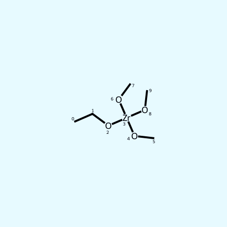 CC[O][Zr]([O]C)([O]C)[O]C